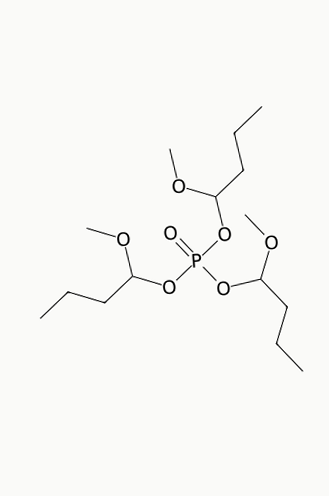 CCCC(OC)OP(=O)(OC(CCC)OC)OC(CCC)OC